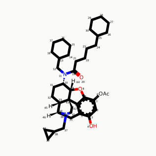 CC(=O)Oc1cc(O)c2c3c1O[C@H]1[C@@H](N(CC4CCCCC4)C(=O)CCCCC4CCCCC4)CC[C@H]4[C@@H](C2)N(CC2CC2)CC[C@@]341